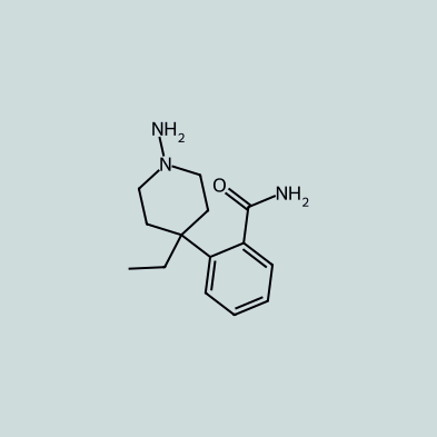 CCC1(c2ccccc2C(N)=O)CCN(N)CC1